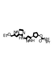 CCOCc1cc2c(Nc3cc([C@H]4CC[C@@H](OC(=O)NC(C)C)C4)[nH]n3)nccn2n1